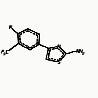 Nc1nc(-c2ccc(F)c(C(F)(F)F)c2)cs1